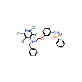 O=S(=O)(Nc1cccc(OCCN(Cc2ccccc2)c2c(Cl)c(Cl)nc(Cl)c2Cl)c1)c1ccccc1